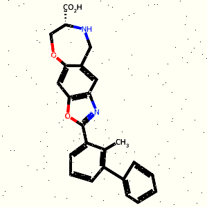 Cc1c(-c2ccccc2)cccc1-c1nc2cc3c(cc2o1)OC[C@H](C(=O)O)NC3